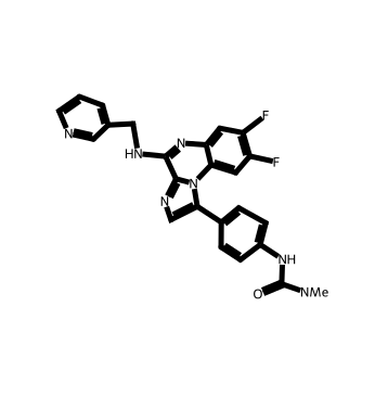 CNC(=O)Nc1ccc(-c2cnc3c(NCc4cccnc4)nc4cc(F)c(F)cc4n23)cc1